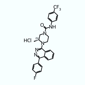 C[C@H]1CN(C(=O)Nc2ccc(C(F)(F)F)cc2)CCN1c1nnc(-c2ccc(F)cc2)c2ccccc12.Cl